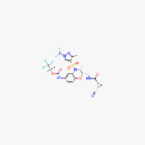 Cc1nn(C(F)F)cc1S(=O)(=O)N1c2cc(NC(=O)OC(C)(C)C(F)(F)F)ccc2O[C@@H](CNC(=O)[C@H]2C[C@@H]2C#N)[C@H]1C